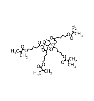 C=C(C)C(=O)OCCCCC(=O)OC1OC[C@@H](OC(=O)CCCCOC(=O)C(=C)C)[C@H](OC(=O)CCCCOC(=O)C(=C)C)[C@H]1OC(=O)CCCCOC(=O)C(=C)C